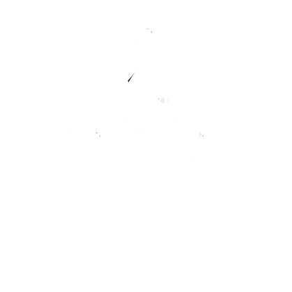 O=C(/C=C/c1ccc(Cl)cc1Cl)NC(CC1CC1)C(=O)NC(C[C@@H]1CCNC1=O)C(=O)C(=O)NC1CC1